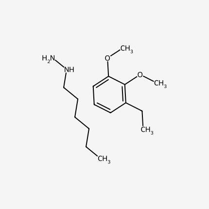 CCCCCCNN.CCc1cccc(OC)c1OC